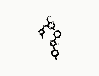 Cc1ccc(-c2cnc(C3CCCN(c4cnc(CN)c(Nc5cc(C)ns5)n4)C3)[nH]2)cc1